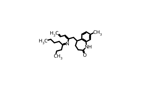 C=C/C=C(CC1CCC(=O)Nc2cc(C)ccc21)\N=C(\CCC)CCCC